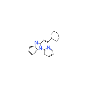 C(=C\C1CCCCC1)/c1nc2ccccc2n1-c1ccccn1